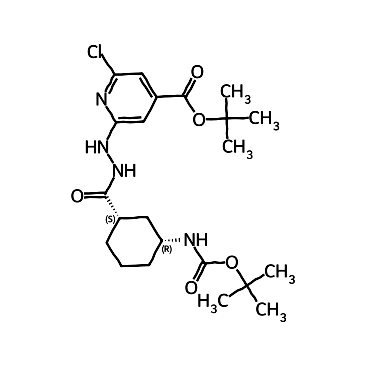 CC(C)(C)OC(=O)N[C@@H]1CCC[C@H](C(=O)NNc2cc(C(=O)OC(C)(C)C)cc(Cl)n2)C1